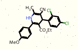 CCOC(=O)C1=C(c2ccc(OC)cc2)NC(C)=C(C#N)C1c1ccc(Cl)cc1Cl